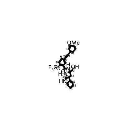 COc1cccc(C#Cc2ccc(OC(F)(F)F)c(C(=O)NC(C)(CO)Cc3c[nH]c4ccccc34)c2)c1